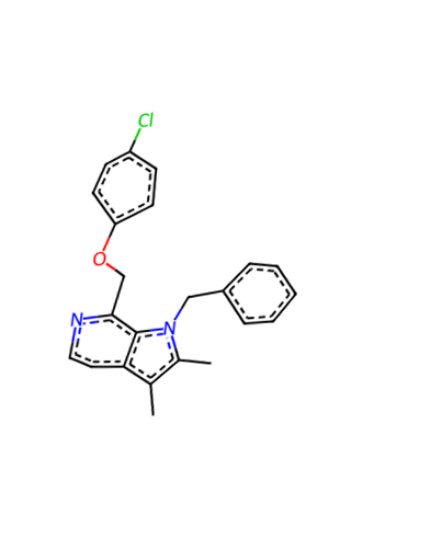 Cc1c(C)n(Cc2ccccc2)c2c(COc3ccc(Cl)cc3)nccc12